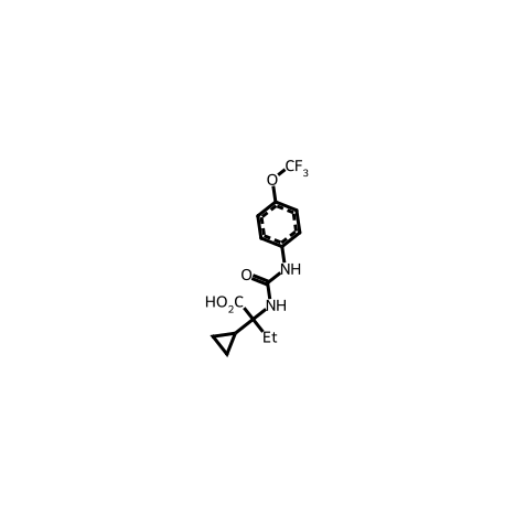 CCC(NC(=O)Nc1ccc(OC(F)(F)F)cc1)(C(=O)O)C1CC1